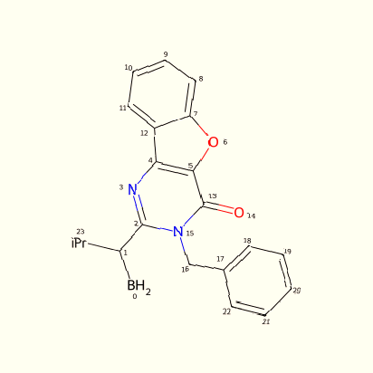 BC(c1nc2c(oc3ccccc32)c(=O)n1Cc1ccccc1)C(C)C